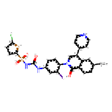 CNc1ccc2c(=O)n(-c3ccc(NC(=O)NS(=O)(=O)c4ccc(Cl)s4)cc3I)cc(-c3ccncc3)c2c1